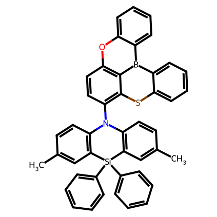 Cc1ccc2c(c1)[Si](c1ccccc1)(c1ccccc1)c1cc(C)ccc1N2c1ccc2c3c1Sc1ccccc1B3c1ccccc1O2